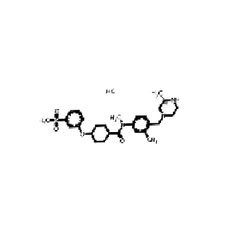 Cc1cc(N(C)C(=O)C2CCC(Oc3cccc(S(C)(=O)=O)c3)CC2)ccc1CN1CCN[C@@H](C)C1.Cl